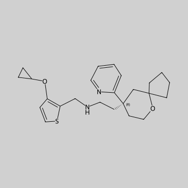 c1ccc([C@]2(CCNCc3sccc3OC3CC3)CCOC3(CCCC3)C2)nc1